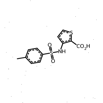 Cc1ccc(S(=O)(=O)Nc2ccsc2C(=O)O)cc1